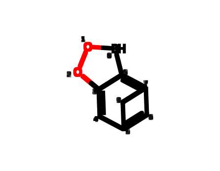 B1OOc2cc3cc(c21)C3